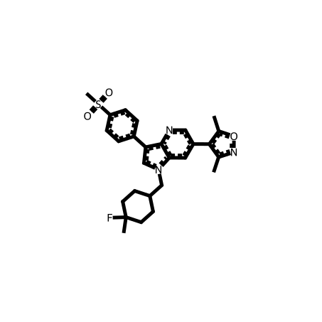 Cc1noc(C)c1-c1cnc2c(-c3ccc(S(C)(=O)=O)cc3)cn(CC3CCC(C)(F)CC3)c2c1